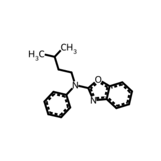 CC(C)CCN(c1ccccc1)c1nc2ccccc2o1